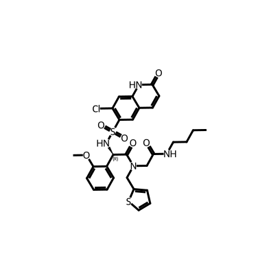 CCCCNC(=O)CN(Cc1cccs1)C(=O)[C@H](NS(=O)(=O)c1cc2ccc(=O)[nH]c2cc1Cl)c1ccccc1OC